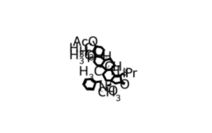 CC(=O)O[C@H]1CC[C@]2(C)[C@H]3CC[C@@H]4C5=C(C(C)C)C(=O)C[C@]5(C(=O)N(C)Cc5ccccc5)CC[C@@]4(C)[C@]3(C)CC[C@H]2C1(C)C